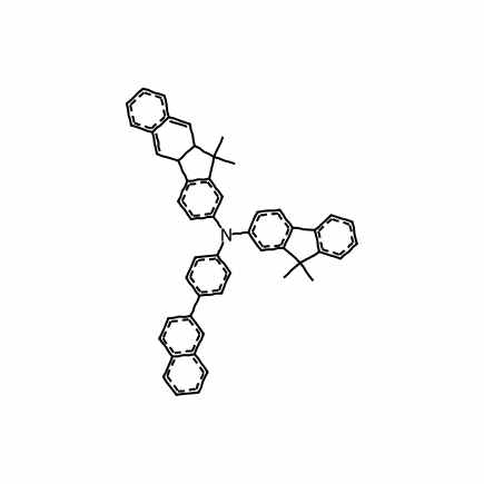 CC1(C)c2ccccc2-c2ccc(N(c3ccc(-c4ccc5ccccc5c4)cc3)c3ccc4c(c3)C(C)(C)C3C=c5ccccc5=CC43)cc21